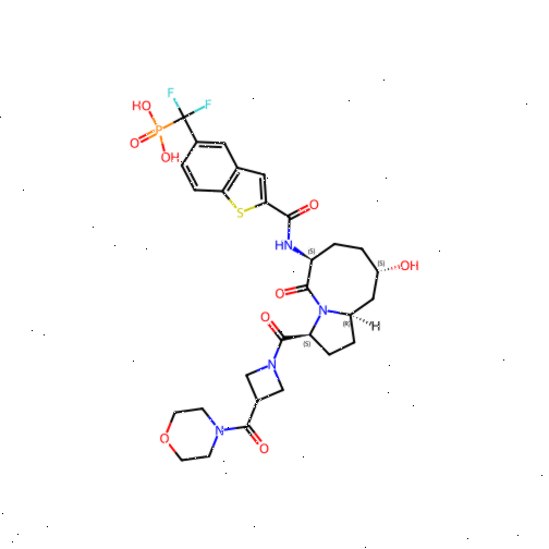 O=C(N[C@H]1CC[C@H](O)C[C@H]2CC[C@@H](C(=O)N3CC(C(=O)N4CCOCC4)C3)N2C1=O)c1cc2cc(C(F)(F)P(=O)(O)O)ccc2s1